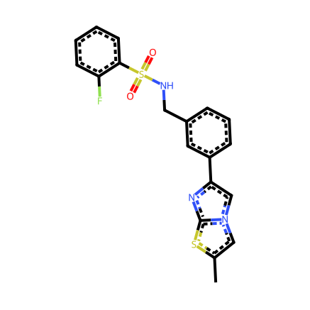 Cc1cn2cc(-c3cccc(CNS(=O)(=O)c4ccccc4F)c3)nc2s1